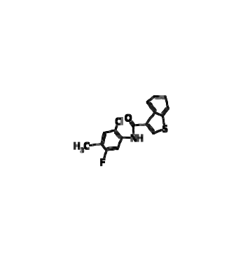 Cc1cc(Cl)c(NC(=O)c2csc3ccccc23)cc1F